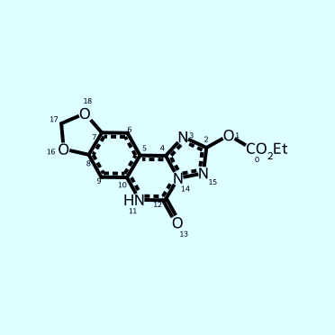 CCOC(=O)Oc1nc2c3cc4c(cc3[nH]c(=O)n2n1)OCO4